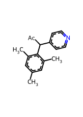 CC(=O)C(c1ccncc1)c1c(C)cc(C)cc1C